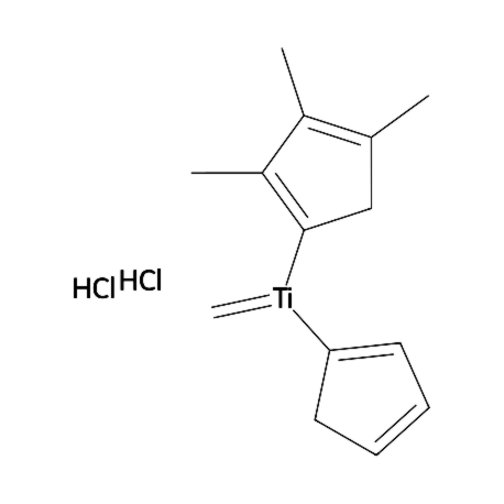 Cl.Cl.[CH2]=[Ti]([C]1=CC=CC1)[C]1=C(C)C(C)=C(C)C1